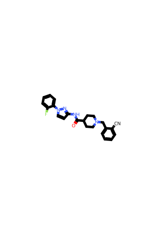 N#Cc1ccccc1CN1CCC(C(=O)Nc2ccn(-c3ccccc3F)n2)CC1